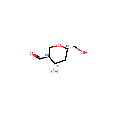 O=C[C@H]1CO[C@H](CO)C[C@@H]1O